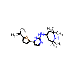 C=C(C)c1ccc(-c2ccnc(NC3CC(C)(C)NC(C)(C)C3)n2)s1